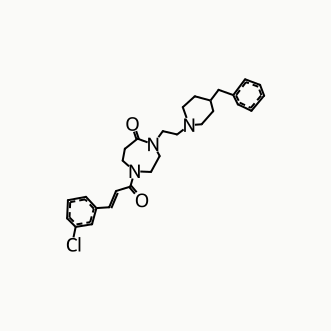 O=C(/C=C/c1cccc(Cl)c1)N1CCC(=O)N(CCN2CCC(Cc3ccccc3)CC2)CC1